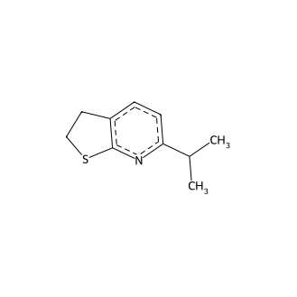 CC(C)c1ccc2c(n1)SCC2